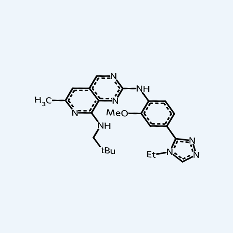 CCn1cnnc1-c1ccc(Nc2ncc3cc(C)nc(NCC(C)(C)C)c3n2)c(OC)c1